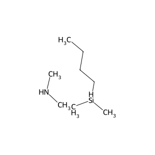 CCCC[SiH](C)C.CNC